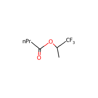 CCCC(=O)OC(C)C(F)(F)F